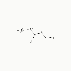 CCCC(F)O[SiH3]